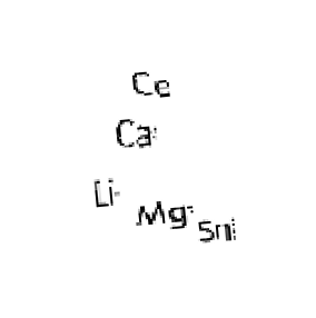 [Ca].[Ce].[Li].[Mg].[Sn]